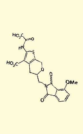 COc1cccc2c1C(=O)N(CC1Cc3c(sc(NC(=O)C(=O)O)c3C(=O)O)CO1)C2=O